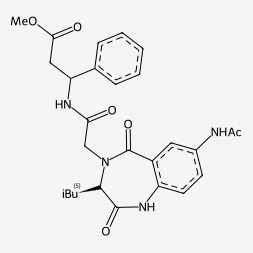 CC[C@H](C)C1C(=O)Nc2ccc(NC(C)=O)cc2C(=O)N1CC(=O)NC(CC(=O)OC)c1ccccc1